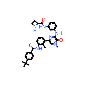 Cc1c(NC(=O)c2ccc(C(C)(C)C)cc2)cccc1-c1cn(C)c(=O)c(Nc2cccc(NC(=O)C3CCN3)c2)n1